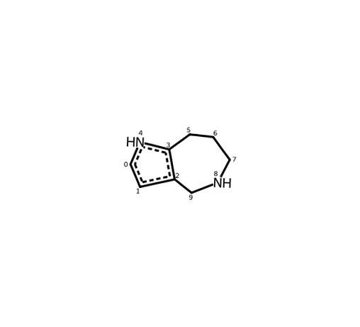 c1cc2c([nH]1)CCCNC2